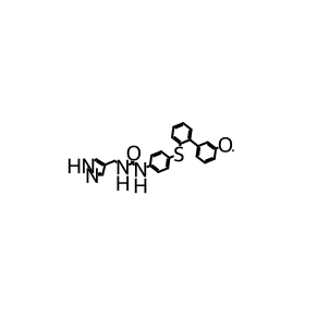 COc1cccc(-c2ccccc2Sc2ccc(NC(=O)NCc3cn[nH]c3)cc2)c1